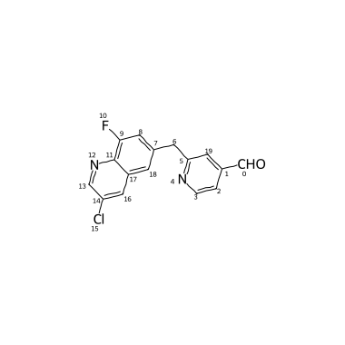 O=Cc1ccnc(Cc2cc(F)c3ncc(Cl)cc3c2)c1